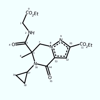 CCOC(=O)CNC(=O)C1(C)Cn2nc(C(=O)OCC)cc2C(=O)N1C1CC1